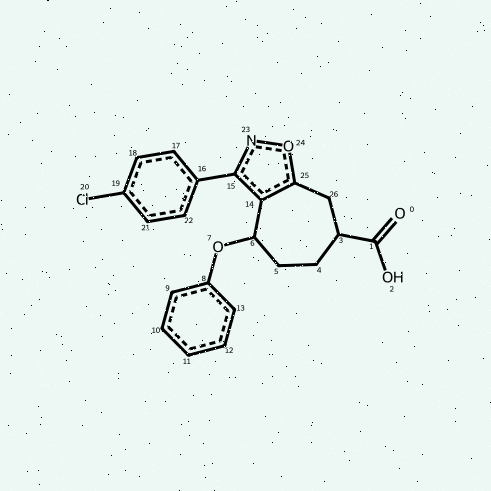 O=C(O)C1CCC(Oc2ccccc2)c2c(-c3ccc(Cl)cc3)noc2C1